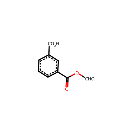 O=COC(=O)c1cccc(C(=O)O)c1